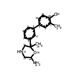 Cc1cc(-c2cccc(C3(C)CNCC(N)O3)c2)ccc1Cl